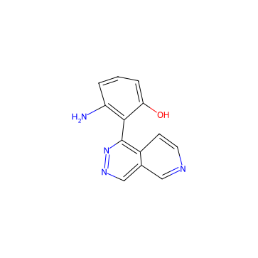 Nc1cccc(O)c1-c1nncc2cnccc12